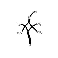 CC1(C)C(=C=O)C(C)(C)C1=NO